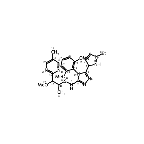 CCN1C=CC(c2nnc(NSC(C)C(OC)c3ncc(C)cn3)n2-c2c(OC)cccc2OC)N1